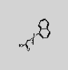 O=C(O)CNOc1cccc2ccccc12